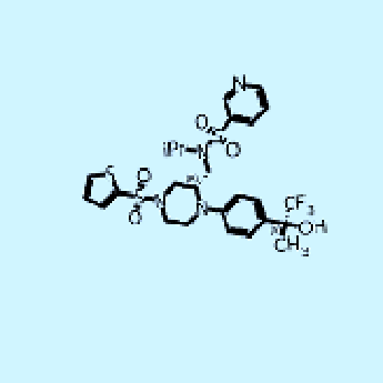 CC(C)N(C[C@H]1CN(S(=O)(=O)c2cccs2)CCN1c1ccc([C@](C)(O)C(F)(F)F)cc1)S(=O)(=O)c1cccnc1